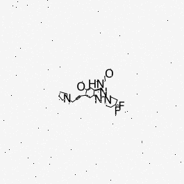 COCCNc1nc(N2CCC(F)(F)CC2)nc2cc(C#CCN3CCCC3)c(OC)cc12